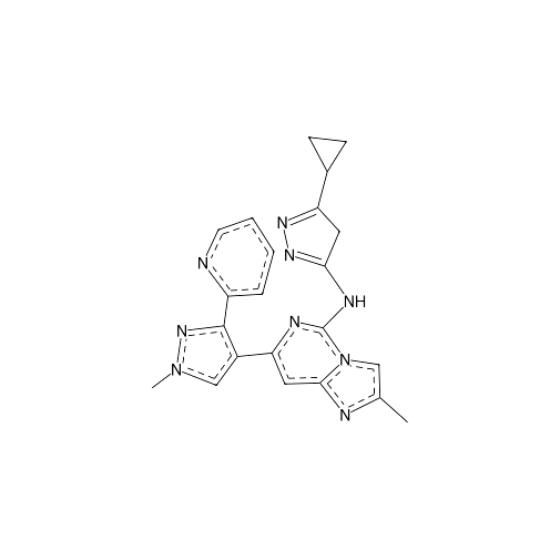 Cc1cn2c(NC3=NN=C(C4CC4)C3)nc(-c3cn(C)nc3-c3ccccn3)cc2n1